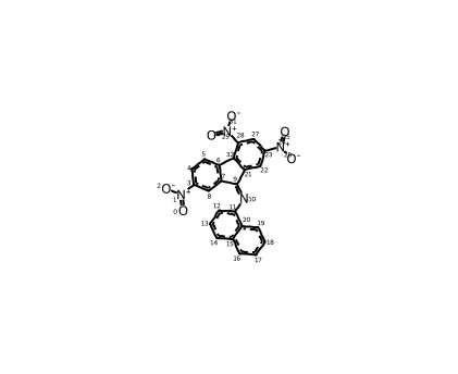 O=[N+]([O-])c1ccc2c(c1)C(=Nc1cccc3ccccc13)c1cc([N+](=O)[O-])cc([N+](=O)[O-])c1-2